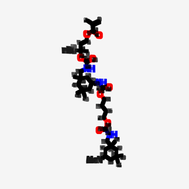 C=C(C)C(=O)OCCC(C)(CCCC)OC(=O)NCC1(C)CC(NC(=O)OCCCCOC(=O)NCC2(C)CC(NC)CC(C)(C)C2)CC(C)(C)C1